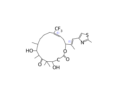 C/C(=C\c1csc(C)n1)C1C/C=C(/C(F)(F)F)CCCC(C)C(O)C(C)C(=O)C(C)(C)C(O)CC(=O)O1